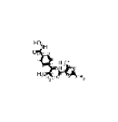 Cc1nc(C)c(C(=O)NC(c2ccc(C(=O)NO)cc2)C(C)C)s1